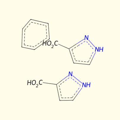 O=C(O)c1cc[nH]n1.O=C(O)c1cc[nH]n1.c1ccccc1